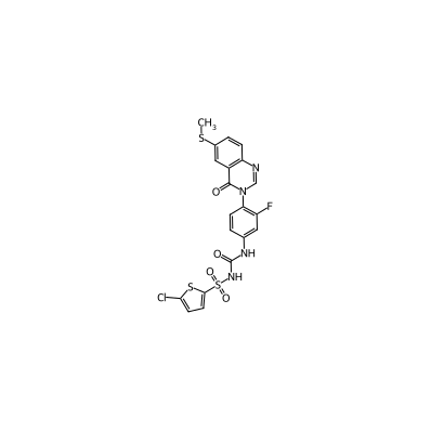 CSc1ccc2ncn(-c3ccc(NC(=O)NS(=O)(=O)c4ccc(Cl)s4)cc3F)c(=O)c2c1